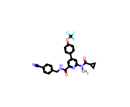 CN(C(=O)C1CC1)c1cc(-c2ccc(OC(F)(F)F)cc2)cc(C(=O)NCc2ccc(C#N)cc2)n1